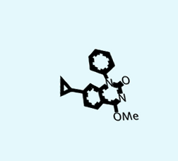 COc1nc(=O)n(-c2ccccc2)c2cc(C3CC3)ccc12